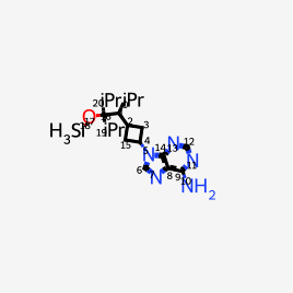 CC(C)C(C1CC(n2cnc3c(N)ncnc32)C1)C(O[SiH3])(C(C)C)C(C)C